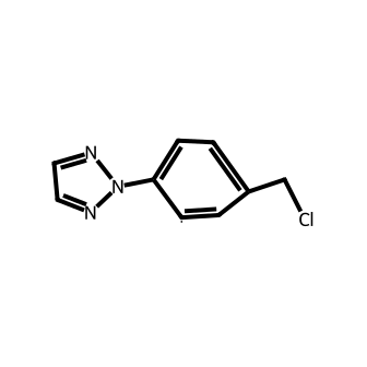 ClCc1c[c]c(-n2nccn2)cc1